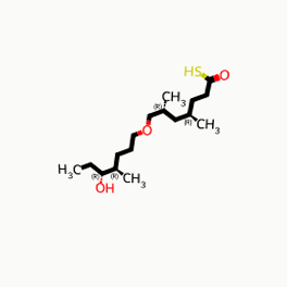 CC[C@@H](O)[C@H](C)CCCOC[C@H](C)C[C@H](C)CCC(=O)S